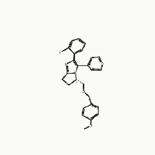 COc1ccc(COC[C@@H]2CCc3nc(-c4ccccc4Cl)c(-c4ccncc4)n32)cc1